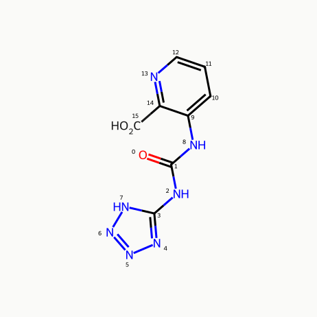 O=C(Nc1nnn[nH]1)Nc1cccnc1C(=O)O